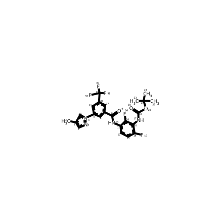 Cc1cnn(-c2cc(C(=O)Nc3ccc(F)c(NC(=O)OC(C)(C)C)c3F)cc(C(F)(F)F)c2)c1